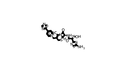 Nc1nc(C(=NO)C(=O)N[C@@H]2C(=O)N3C(C(=O)[O-])=C(C[n+]4ccc(-c5ncno5)cc4)CS[C@@H]23)ns1